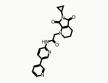 O=C(CN1CCCC2=C1C(=O)N(C1CC1)C2=O)Nc1ccc(-c2cccnc2)cn1